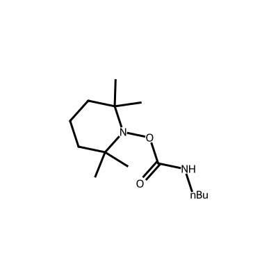 CCCCNC(=O)ON1C(C)(C)CCCC1(C)C